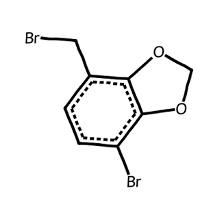 BrCc1ccc(Br)c2c1OCO2